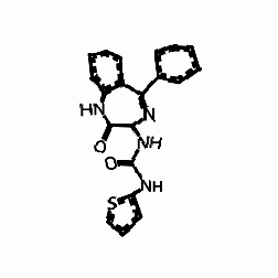 O=C(Nc1cccs1)NC1N=C(c2ccccc2)c2ccccc2NC1=O